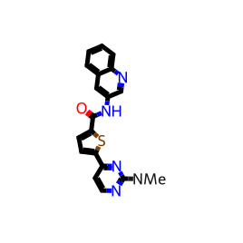 CNc1nccc(-c2ccc(C(=O)Nc3cnc4ccccc4c3)s2)n1